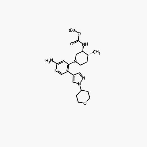 C[C@@H]1CCN(c2cc(N)ncc2-c2cnn(C3CCOCC3)c2)C[C@H]1NC(=O)OC(C)(C)C